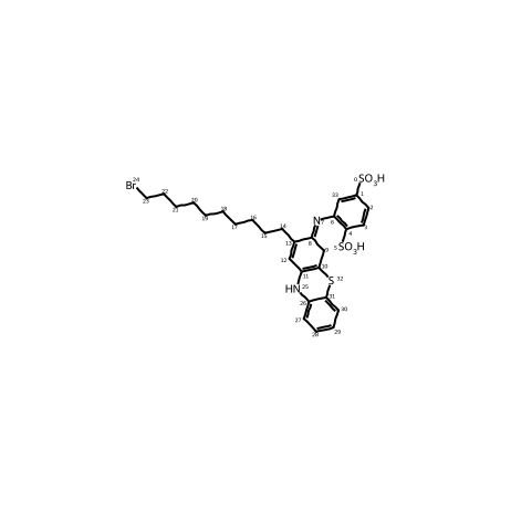 O=S(=O)(O)c1ccc(S(=O)(=O)O)c(N=C2CC3=C(C=C2CCCCCCCCCCBr)Nc2ccccc2S3)c1